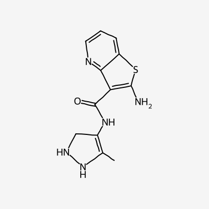 CC1=C(NC(=O)c2c(N)sc3cccnc23)CNN1